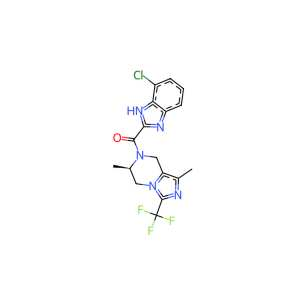 Cc1nc(C(F)(F)F)n2c1CN(C(=O)c1nc3cccc(Cl)c3[nH]1)[C@H](C)C2